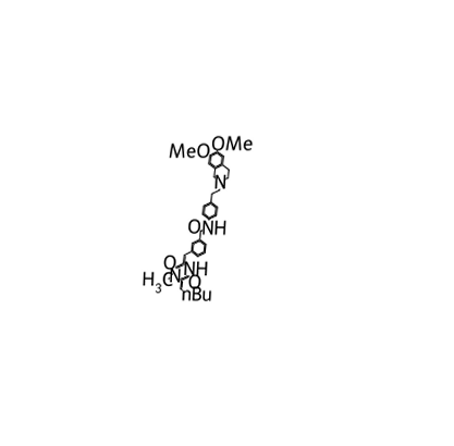 CCCC/C=c1\c(=O)[nH]/c(=C\c2cccc(C(=O)Nc3ccc(CCN4CCc5cc(OC)c(OC)cc5C4)cc3)c2)c(=O)n1C